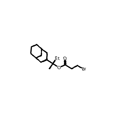 CCC(C)(OC(=O)CCBr)C1CC2CCCC(C2)C1